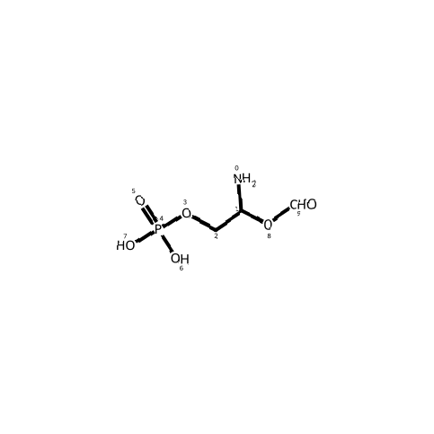 NC(COP(=O)(O)O)OC=O